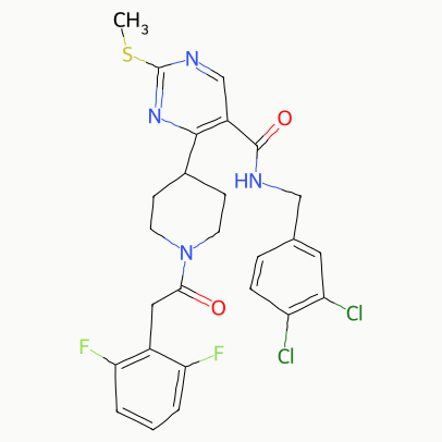 CSc1ncc(C(=O)NCc2ccc(Cl)c(Cl)c2)c(C2CCN(C(=O)Cc3c(F)cccc3F)CC2)n1